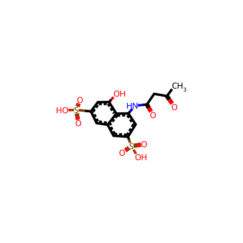 CC(=O)CC(=O)Nc1cc(S(=O)(=O)O)cc2cc(S(=O)(=O)O)cc(O)c12